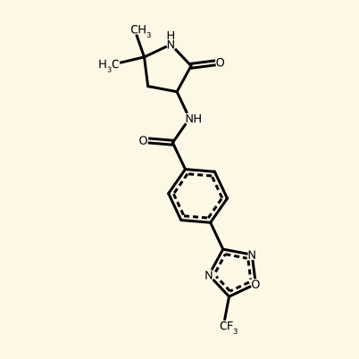 CC1(C)CC(NC(=O)c2ccc(-c3noc(C(F)(F)F)n3)cc2)C(=O)N1